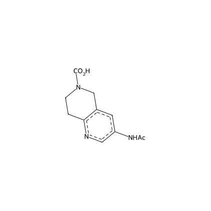 CC(=O)Nc1cnc2c(c1)CN(C(=O)O)CC2